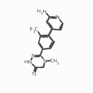 CN1CC(=O)NN=C1c1ccc(-c2ccnc(N)c2)c(C(F)(F)F)c1